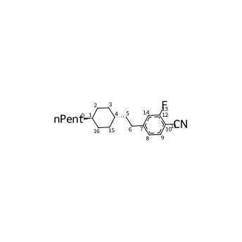 CCCCC[C@H]1CC[C@H](CCc2ccc(C#N)c(F)c2)CC1